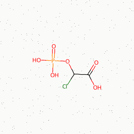 O=C(O)C(Cl)OP(=O)(O)O